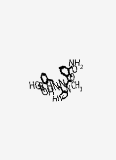 Cc1oc2c(C(N)=O)cccc2c1-c1nc2c(c(NCc3cccc(B(O)O)c3)n1)CNCC2